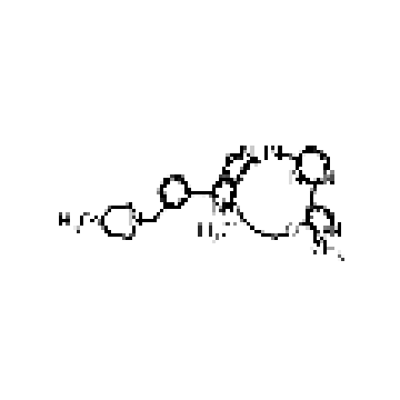 C[C@H]1CCOc2c(cnn2C)-c2nccc(n2)Nc2cc3c(cn2)c(-c2cccc(CN4CCN(C)CC4)c2)nn31